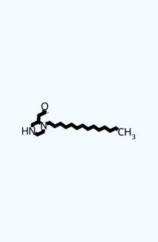 CCCCCCCCCCCCCCN1CCNCC1C[C]=O